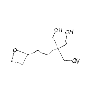 OCC(CO)(CO)CCC1CCO1